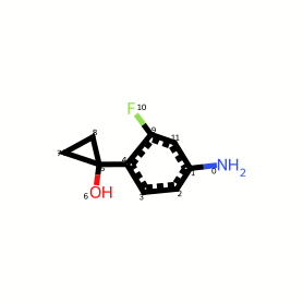 Nc1ccc(C2(O)CC2)c(F)c1